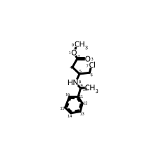 COC(=O)CC(CCl)NC(C)c1ccccc1